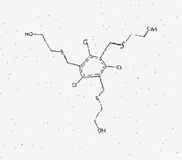 OCCSCc1c(Cl)c(CSCCO)c(Cl)c(CSCCO)c1Cl